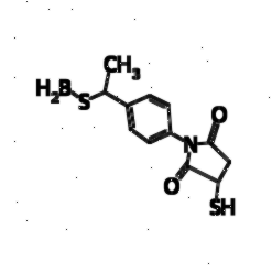 BSC(C)c1ccc(N2C(=O)CC(S)C2=O)cc1